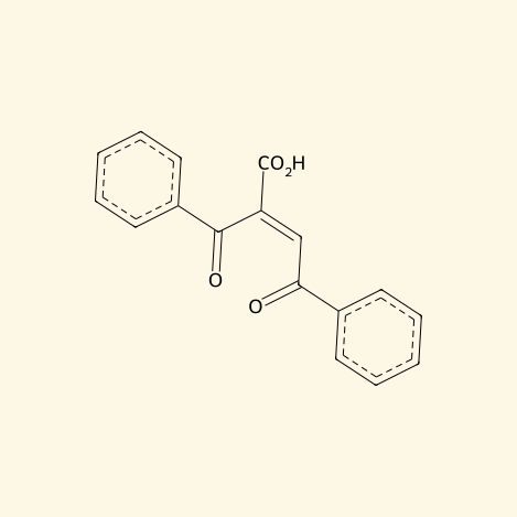 O=C(O)C(=CC(=O)c1ccccc1)C(=O)c1ccccc1